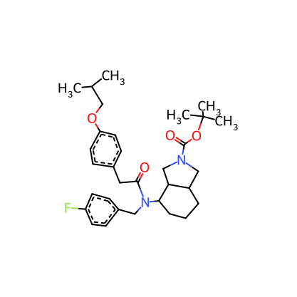 CC(C)COc1ccc(CC(=O)N(Cc2ccc(F)cc2)C2CCCC3CN(C(=O)OC(C)(C)C)CC32)cc1